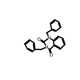 O=c1c2ccccc2n(Cc2ccccc2)c(=O)n1Cc1ccccc1